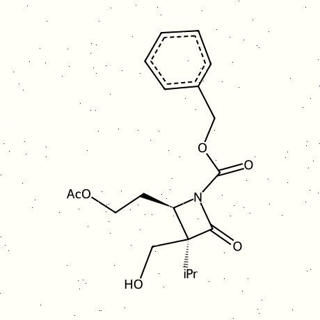 CC(=O)OCC[C@H]1N(C(=O)OCc2ccccc2)C(=O)[C@]1(CO)C(C)C